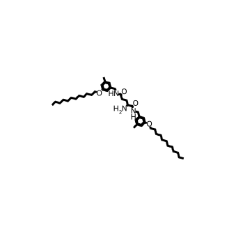 CCCCCCCCCCCCOc1cc(C)cc(CNC(=O)CCC(N)C(=O)NCc2cc(C)cc(OCCCCCCCCCCCC)c2)c1